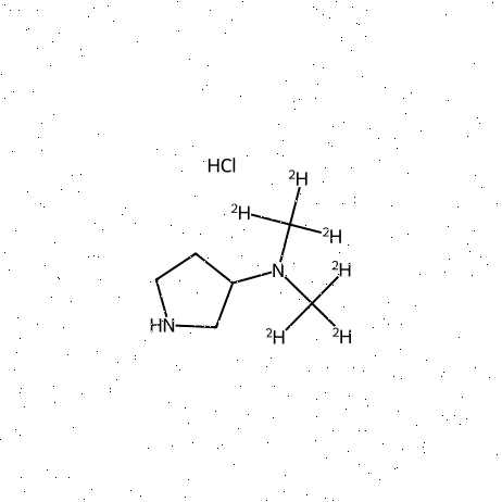 Cl.[2H]C([2H])([2H])N(C1CCNC1)C([2H])([2H])[2H]